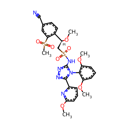 COc1cccc(-c2nnc(NS(=O)(=O)C[C@H](OC)c3ccc(C#N)cc3S(C)(=O)=O)n2-c2c(OC)cccc2OC)n1